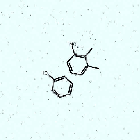 Cc1cccc([N+](=O)[O-])c1C.Oc1ccccc1